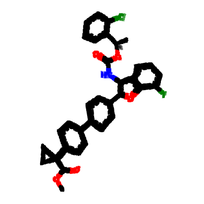 COC(=O)C1(c2ccc(-c3ccc(-c4oc5c(F)cccc5c4NC(=O)O[C@H](C)c4ccccc4Cl)cc3)cc2)CC1